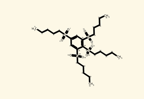 CCCCCS(=O)(=O)c1cc(S(=O)(=O)CCCCC)c(S(=O)(=O)CCCCC)c(S(=O)(=O)CCCCC)c1